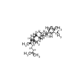 CCC(NC(=O)[C@H]1CC[C@@]2(C)C(=CC[C@H]3[C@@H]4CC[C@H]([C@H](C)CCCC(C)C)[C@@]4(C)CC[C@@H]32)C1)N(C)C